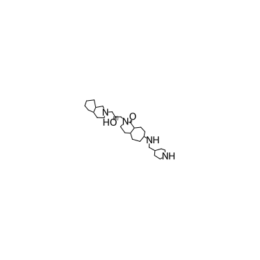 O=C1C2CCC(NCC3CCNCC3)CCC2CCN1C[C@H](O)CN1CCC2CCCCC2C1